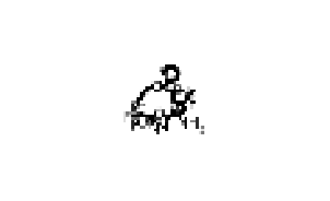 Nc1cc(C(F)(F)F)c2nc1-c1nnc(o1)[C@@](O)(C(F)(F)F)CCCCCN(c1ccccn1)C2=O